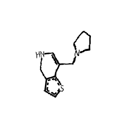 C1=C(CN2CCCC2)c2sccc2CN1